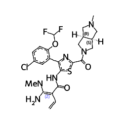 C=C/C(C(=O)Nc1sc(C(=O)N2C[C@H]3CN(C)C[C@H]3C2)nc1-c1cc(Cl)ccc1OC(F)F)=C(\N)NC